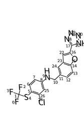 FC(F)(F)Sc1ccc(NCc2ccc3oc(-c4nnn[nH]4)cc3c2)cc1Cl